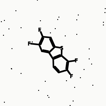 Fc1cc2sc3c(F)c(F)ccc3c2cc1F